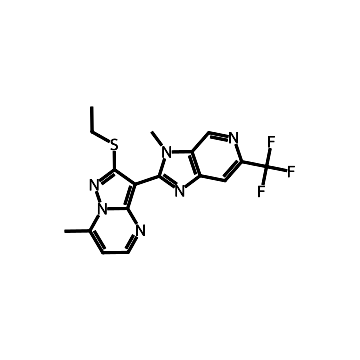 CCSc1nn2c(C)ccnc2c1-c1nc2cc(C(F)(F)F)ncc2n1C